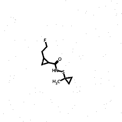 CC1(SNC(=O)C2CC2CCF)CC1